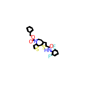 O=C(Nc1c(F)cccc1F)c1cc2c(s1)-c1sccc1N(C(=O)OCc1ccccc1)CC2